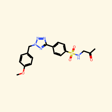 COc1ccc(Cn2nnc(-c3ccc(S(=O)(=O)NCC(C)=O)cc3)n2)cc1